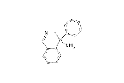 NC1(c2ccccc2)CN=Cc2ccccc21